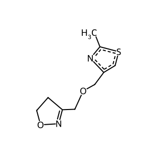 Cc1nc(COCC2=NOCC2)cs1